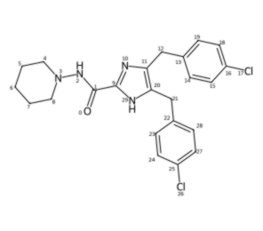 O=C(NN1CCCCC1)c1nc(Cc2ccc(Cl)cc2)c(Cc2ccc(Cl)cc2)[nH]1